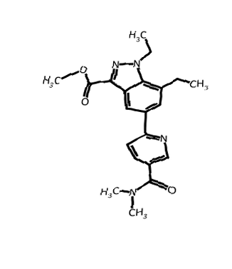 CCc1cc(-c2ccc(C(=O)N(C)C)cn2)cc2c(C(=O)OC)nn(CC)c12